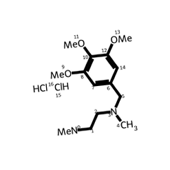 CNCCN(C)Cc1cc(OC)c(OC)c(OC)c1.Cl.Cl